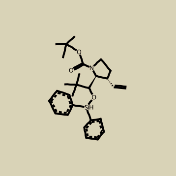 C=C[C@H]1CCN(C(=O)OC(C)(C)C)[C@@H]1C(O[SiH](c1ccccc1)c1ccccc1)C(C)(C)C